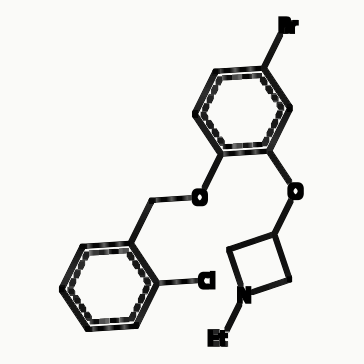 CCN1CC(Oc2cc(Br)ccc2OCc2ccccc2Cl)C1